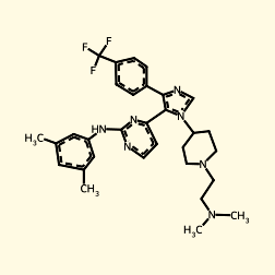 Cc1cc(C)cc(Nc2nccc(-c3c(-c4ccc(C(F)(F)F)cc4)ncn3C3CCN(CCN(C)C)CC3)n2)c1